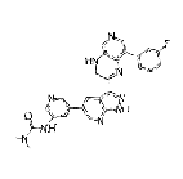 CN(C)C(=O)Nc1cncc(-c2cnc3[nH]nc(C4=Nc5c(cncc5-c5cccc(F)c5)NC4)c3c2)c1